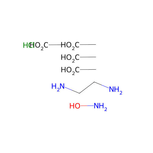 CC(=O)O.CC(=O)O.CC(=O)O.CC(=O)O.Cl.NCCN.NO